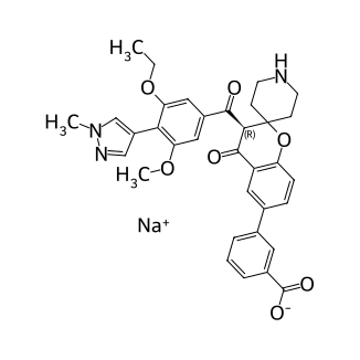 CCOc1cc(C(=O)[C@@H]2C(=O)c3cc(-c4cccc(C(=O)[O-])c4)ccc3OC23CCNCC3)cc(OC)c1-c1cnn(C)c1.[Na+]